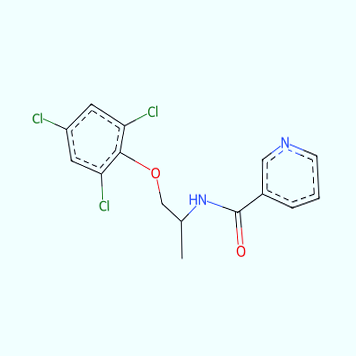 CC(COc1c(Cl)cc(Cl)cc1Cl)NC(=O)c1cccnc1